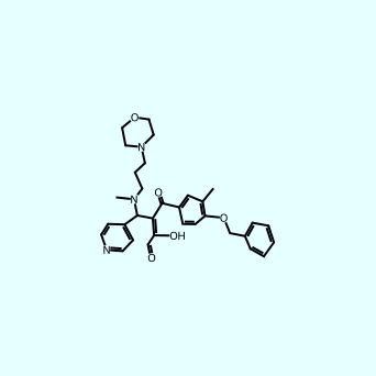 Cc1cc(C(=O)/C(=C(\O)C=O)C(c2ccncc2)N(C)CCCN2CCOCC2)ccc1OCc1ccccc1